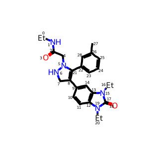 CCNC(=O)CN1NCC(c2ccc3c(c2)n(CC)c(=O)n3CC)=C1c1cccc(C)c1